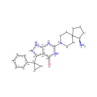 N[C@@H]1CCCC12CCN(c1nc3[nH]nc(C4(c5ccccc5)CC4)c3c(=O)[nH]1)CC2